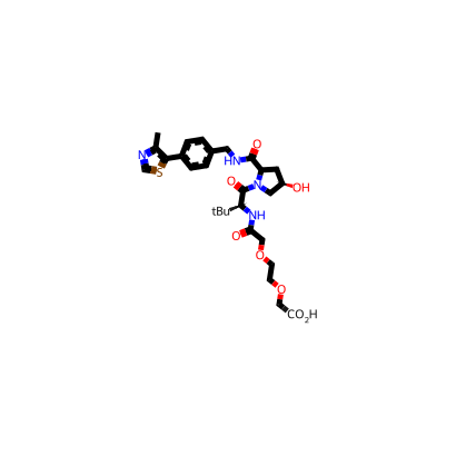 Cc1ncsc1-c1ccc(CNC(=O)C2C[C@@H](O)CN2C(=O)[C@@H](NC(=O)COCCOCC(=O)O)C(C)(C)C)cc1